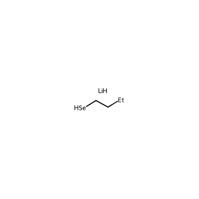 CCCC[SeH].[LiH]